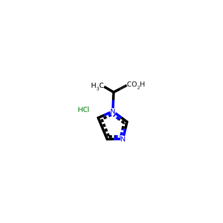 CC(C(=O)O)n1ccnc1.Cl